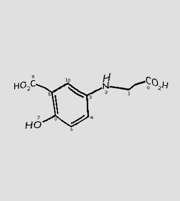 O=C(O)CNc1ccc(O)c(C(=O)O)c1